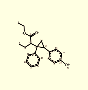 CCOC(=O)C(CC)C1(c2ccccc2)CC1c1ccc(O)cc1